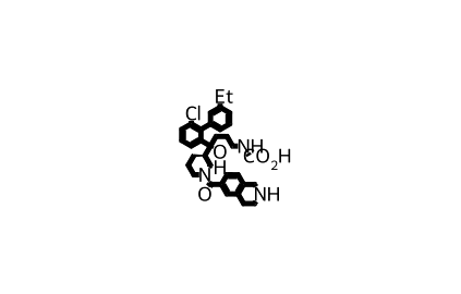 CCc1cccc(-c2c(Cl)cccc2[C@](O)(CCCNC(=O)O)[C@@H]2CCCN(C(=O)c3ccc4c(c3)CCNC4)C2)c1